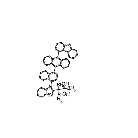 BC(O)(O)C(B)(B)c1nc2ccccc2n1-c1ccc(-c2c3ccccc3c(-c3cccc4sc5ccccc5c34)c3ccccc23)c2ccccc12